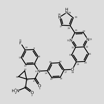 NC(=O)C1(C(=O)N(c2ccc(F)cc2)c2ccc(Oc3ccc4ncc(-c5cn[nH]c5)nc4c3)cc2)CC1